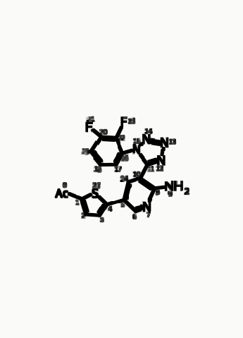 CC(=O)c1ccc(-c2cnc(N)c(-c3nnnn3-c3cccc(F)c3F)c2)s1